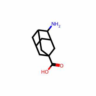 NC1C2CC3CC1CC(C(=O)O)(C3)C2